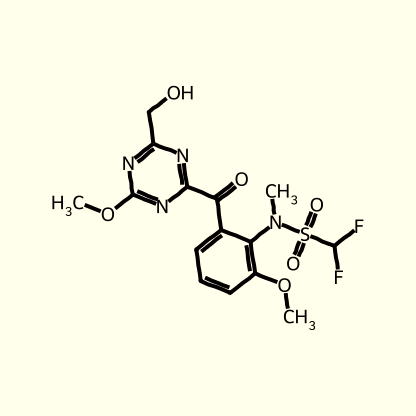 COc1nc(CO)nc(C(=O)c2cccc(OC)c2N(C)S(=O)(=O)C(F)F)n1